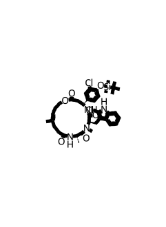 CC1=CCCOC(=O)C[C@H](c2ccc(O[Si](C)(C)C(C)(C)C)c(Cl)c2)NC(=O)[C@@H](Cc2c(Cl)[nH]c3ccccc23)N(C)C(=O)[C@H](C)NC(=O)CC1